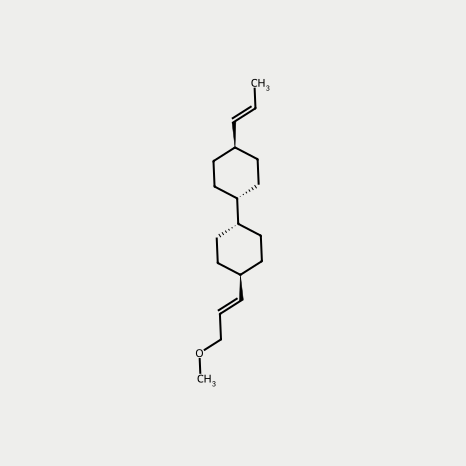 CC=C[C@H]1CC[C@H]([C@H]2CC[C@H](C=CCOC)CC2)CC1